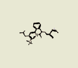 C=C(/C=C\C)CCC1c2ccccc2-c2cc(CC(C)C)c([Si](C)(C)C)c[n+]2C1C